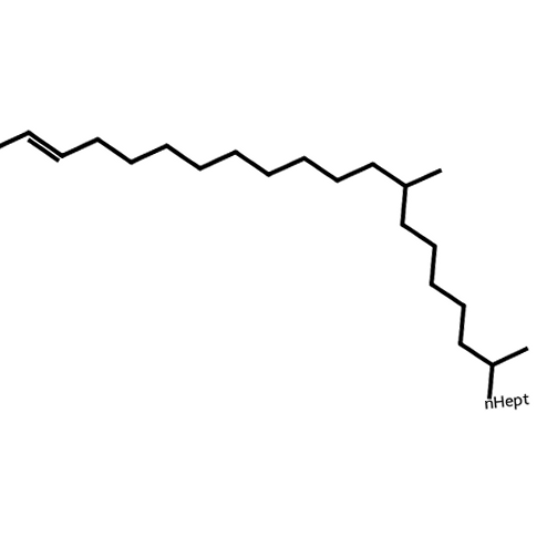 [CH2]/C=C/CCCCCCCCCC(C)CCCCCC(C)CCCCCC[CH2]